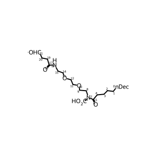 CCCCCCCCCCCCCCC(=O)N(CCOCCOCCNC(=O)CC[C]=O)C(=O)O